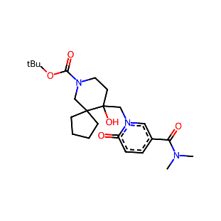 CN(C)C(=O)c1ccc(=O)n(CC2(O)CCN(C(=O)OC(C)(C)C)CC23CCCC3)c1